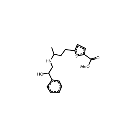 COC(=O)c1ccc(CCC(C)NC[C@H](O)c2ccccc2)s1